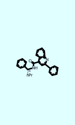 CCC[C@@H](NC(=O)c1cc(-c2ccccc2)nc2ccccc12)c1ccccc1